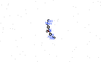 c1cc(C2CN=C(C3CCCN3)N2)ccc1-c1nnc(-c2ccc3[nH]c(C4CCCN4)nc3c2)c2c1C1CCC2CC1